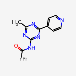 CCCC(=O)Nc1nc(C)nc(-c2ccncc2)n1